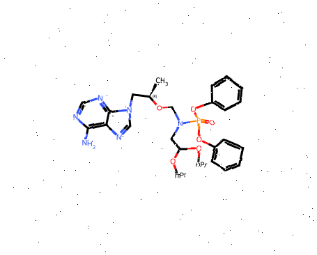 CCCOC(CN(CO[C@H](C)Cn1cnc2c(N)ncnc21)P(=O)(Oc1ccccc1)Oc1ccccc1)OCCC